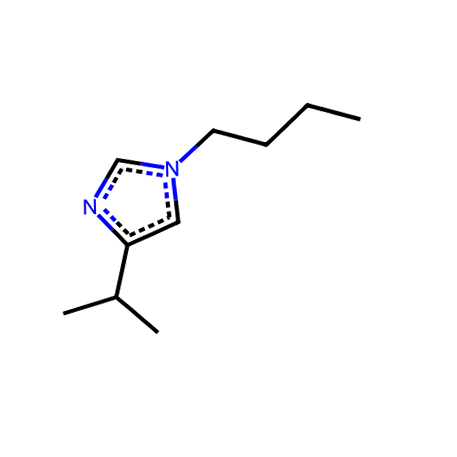 CCCCn1cnc(C(C)C)c1